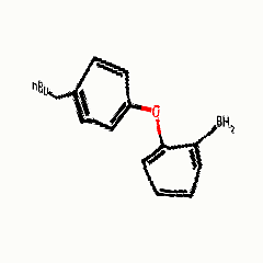 Bc1ccccc1Oc1ccc(CCCC)cc1